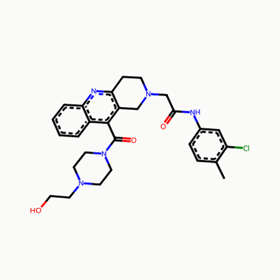 Cc1ccc(NC(=O)CN2CCc3nc4ccccc4c(C(=O)N4CCN(CCO)CC4)c3C2)cc1Cl